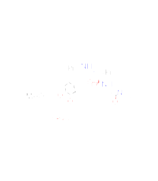 COCCCOc1cc(C[C@@H](C[C@H](N)[C@@H](O)C[C@H](C(=O)NCC(C)(C)C(N)=O)C(C)C)C(C)C)ccc1OCCCS(C)(=O)=O